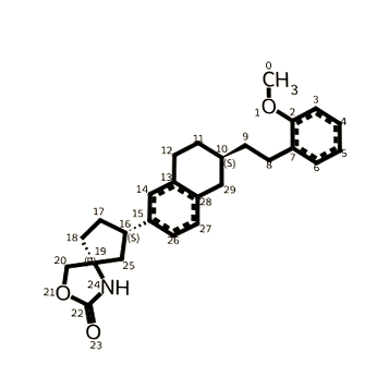 COc1ccccc1CC[C@@H]1CCc2cc([C@H]3CC[C@]4(COC(=O)N4)C3)ccc2C1